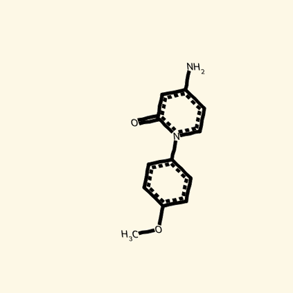 COc1ccc(-n2ccc(N)cc2=O)cc1